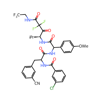 COc1ccc(C(NC(=O)C(Cc2cccc(C#N)c2)NC(=O)c2cccc(Cl)c2)C(=O)N[C@H](C(=O)C(F)(F)C(=O)NCC(F)(F)F)C(C)C)cc1